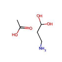 CC(=O)O.NCCC(O)O